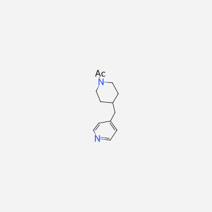 [CH2]C(=O)N1CCC(Cc2ccncc2)CC1